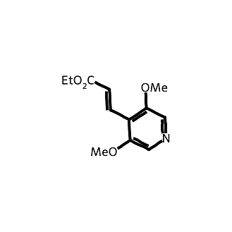 CCOC(=O)/C=C/c1c(OC)cncc1OC